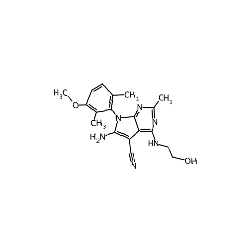 COc1ccc(C)c(-n2c(N)c(C#N)c3c(NCCO)nc(C)nc32)c1C